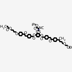 [C-]#[N+]/C(C(=O)OC(C)C)=C1/Sc2c(OC(=O)C3CCC(CC(=O)C4CCC(OCCCCOC(=O)C=C)CC4)CC3)ccc(OC(=O)C3CCC(CC(=O)C4CCC(C(=C)CCCOCCOO)CC4)CC3)c2S1